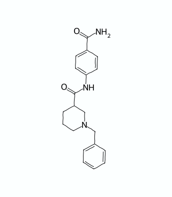 NC(=O)c1ccc(NC(=O)C2CCCN(Cc3ccccc3)C2)cc1